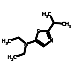 CCN(CC)c1cnc(C(C)C)s1